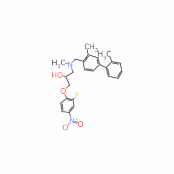 Cc1cc(-c2ccccc2C)ccc1CN(C)CC(O)COc1ccc([N+](=O)[O-])cc1F